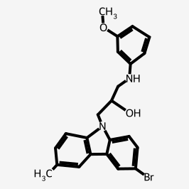 COc1cccc(NCC(O)Cn2c3ccc(C)cc3c3cc(Br)ccc32)c1